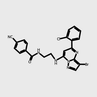 N#Cc1ccc(C(=O)NCCNc2cc(-c3ccccc3Cl)nc3c(Br)cnn23)cc1